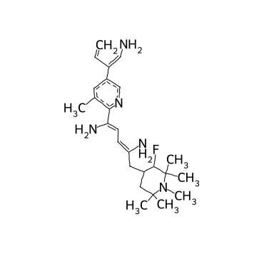 C=C/C(=C\N)c1cnc(/C(N)=C/C=C(\N)CC2CC(C)(C)N(C)C(C)(C)C2F)c(C)c1